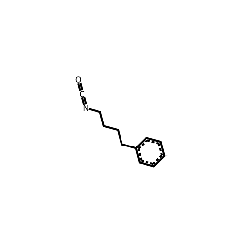 O=C=NCCCCc1cc[c]cc1